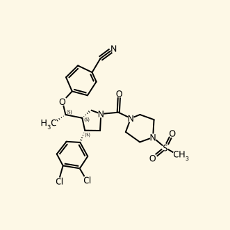 C[C@H](Oc1ccc(C#N)cc1)[C@@H]1CN(C(=O)N2CCN(S(C)(=O)=O)CC2)C[C@@H]1c1ccc(Cl)c(Cl)c1